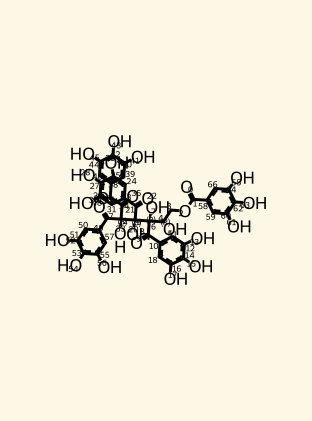 O=C(OC[C@@H](O)[C@](O)(C(=O)c1cc(O)c(O)c(O)c1)[C@@](O)(C(=O)c1cc(O)c(O)c(O)c1)[C@@](O)(C(=O)C(=O)c1cc(O)c(O)c(O)c1)C(=O)c1cc(O)c(O)c(O)c1)c1cc(O)c(O)c(O)c1